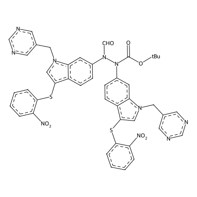 CC(C)(C)OC(=O)N(c1ccc2c(Sc3ccccc3[N+](=O)[O-])cn(Cc3cncnc3)c2c1)N(C=O)c1ccc2c(Sc3ccccc3[N+](=O)[O-])cn(Cc3cncnc3)c2c1